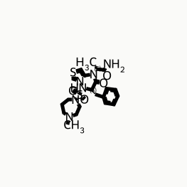 C[C@@H](C(N)=O)N(C(=O)[C@H](Cc1ccccc1)NS(=O)(=O)N1CCCN(C)CC1)c1cscn1